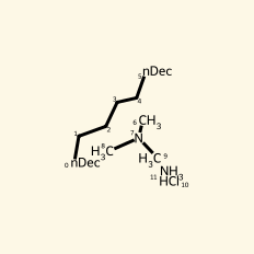 CCCCCCCCCCCCCCCCCCCCCCCC.CN(C)C.Cl.N